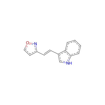 C(=C\c1c[nH]c2ccccc12)/c1ccon1